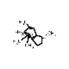 CC1=C[C@@]23CC[C@@H]1C(C)(C)C2CC[C@H]3C